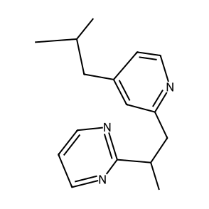 CC(C)Cc1ccnc(CC(C)c2ncccn2)c1